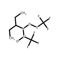 CCC(CC)N(OSC(F)(F)F)[S+]([O-])C(F)(F)F